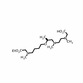 C=C(CN(C)CCN(C)CC(=O)O)OCCCCN(C)CC(=O)OCC